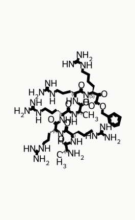 C[C@@H](N)C(=O)N[C@H](CCCNC(=N)N)C(=O)N[C@H](CCCNC(=N)N)C(=O)N[C@H](CCCNC(=N)N)C(=O)N[C@H](C)C(=O)N[C@H](CCCNC(=N)N)C(=O)N[C@@H](CCCCNC(=N)N)C(=O)C(=O)OCc1ccccc1